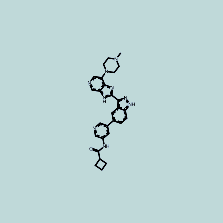 CN1CCN(c2cncc3[nH]c(-c4n[nH]c5ccc(-c6cncc(NC(=O)C7CCC7)c6)cc45)nc23)CC1